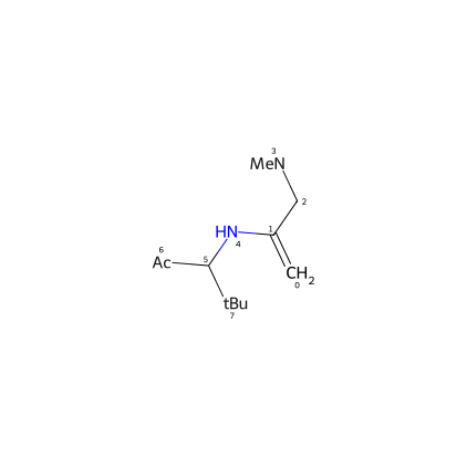 C=C(CNC)NC(C(C)=O)C(C)(C)C